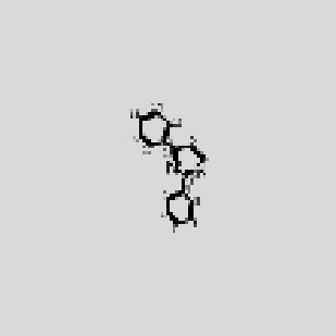 [c]1cnc(-c2ccccc2)nc1-c1ccccc1